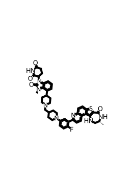 C[C@@H]1CNc2c(sc3ccc4nc(-c5cc(N6CCC(CN7CCC(c8cccc9c8n(C)c(=O)n9C8CCC(=O)NC8=O)CC7)CC6)ccc5F)ccc4c23)C(=O)N1